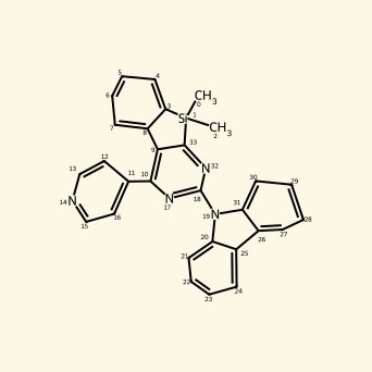 C[Si]1(C)c2ccccc2-c2c(-c3ccncc3)nc(-n3c4ccccc4c4ccccc43)nc21